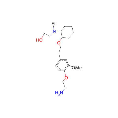 CCN(CCO)C1CCCCC1OCCc1ccc(OCCN)c(OC)c1